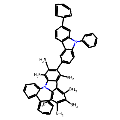 Bc1c(B)c(B)c2c(c1B)c1c(B)c(-c3ccc4c(c3)c3ccc(-c5ccccc5)cc3n4-c3ccccc3)c(B)c(B)c1n2-c1ccccc1-c1ccccc1